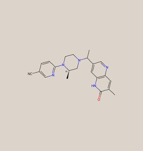 Cc1cc2ncc(C(C)N3CCN(c4ccc(C#N)cn4)[C@H](C)C3)cc2[nH]c1=O